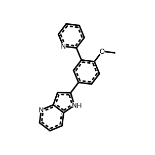 COc1ccc(-c2cc3ncccc3[nH]2)cc1-c1ccccn1